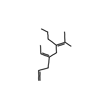 C=CCC(=CC)CC(CCC)=C(C)C